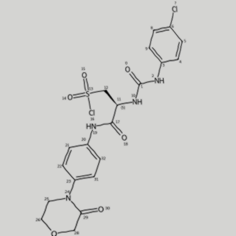 O=C(Nc1ccc(Cl)cc1)N[C@H](CS(=O)(=O)Cl)C(=O)Nc1ccc(N2CCOCC2=O)cc1